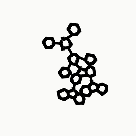 c1ccc(-c2cc(-c3cc(-c4ccccc4)c(-n4c5ccc(-n6c7ccccc7c7ccccc76)cc5c5c(-n6c7ccccc7c7ccccc76)cccc54)c(-c4ccccc4)c3)nc(-c3ccccc3)n2)cc1